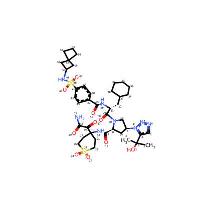 CC(C)(O)c1cnnn1[C@H]1C[C@@H](C(=O)NC2(C(=O)C(N)=O)CCS(=O)(=O)CC2)N(C(=O)[C@@H](CC2CCCCC2)NC(=O)c2ccc(S(=O)(=O)NC3CC4(CCC4)C3)cc2)C1